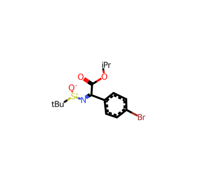 CC(C)OC(=O)C(=N[S+]([O-])C(C)(C)C)c1ccc(Br)cc1